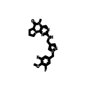 COc1c(F)cc(Cn2cc(CNc3ncc4c(n3)N3CCCC3C(=O)N4C)cn2)cc1F